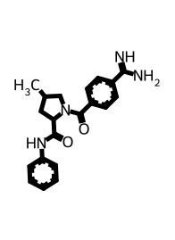 CC1CC(C(=O)Nc2ccccc2)N(C(=O)c2ccc(C(=N)N)cc2)C1